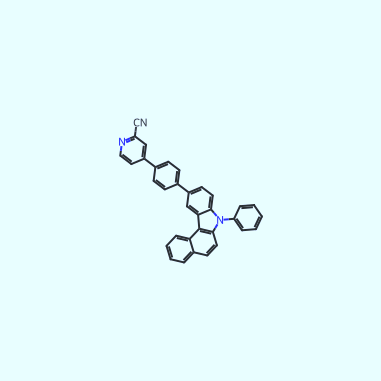 N#Cc1cc(-c2ccc(-c3ccc4c(c3)c3c5ccccc5ccc3n4-c3ccccc3)cc2)ccn1